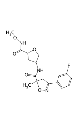 CONC(=O)C1CC(NC(=O)C2(C)CC(c3cccc(F)c3)=NO2)CO1